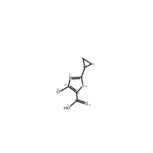 O=C(O)c1sc(C2CC2)nc1Cl